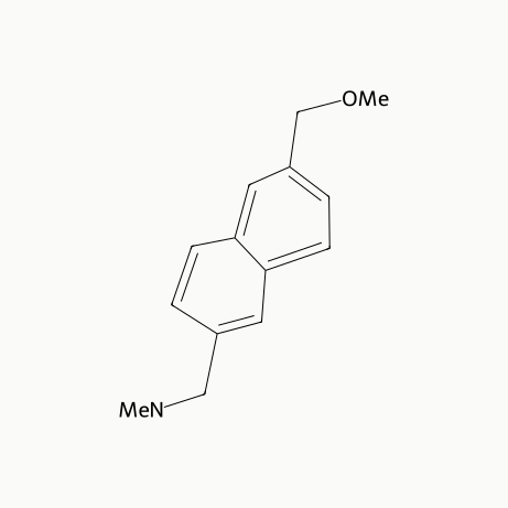 CNCc1ccc2cc(COC)ccc2c1